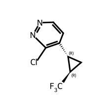 FC(F)(F)[C@@H]1C[C@H]1c1ccnnc1Cl